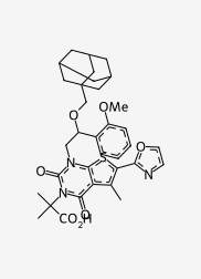 COc1ccccc1C(Cn1c(=O)n(C(C)(C)C(=O)O)c(=O)c2c(C)c(-c3ncco3)sc21)OCC12CC3CC(CC(C3)C1)C2